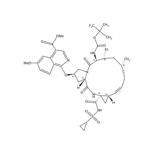 CC[C@@H]1C[C@H](C)CC/C=C\[C@@H]2C[C@@]2(C(=O)NS(=O)(=O)C2CC2)NC(=O)[C@@H]2C[C@@H](Oc3ncc(C(=O)OC)c4cc(OC)ccc34)CN2C(=O)[C@H]1NC(=O)OC(C)(C)C(F)(F)F